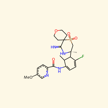 COc1ccc(C(=O)NC2=CC=C(F)C([C@]3(C)CS(=O)(=O)C4(CCOCC4)C(=N)N3)C2C)nc1